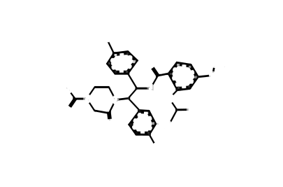 COc1ccc(C(=O)NC(c2ccc(Cl)cc2)C(c2ccc(Cl)cc2)N2CCN(C(N)=O)CC2=O)c(OC(C)C)c1